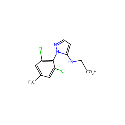 O=C(O)CNc1ccnn1-c1c(Cl)cc(C(F)(F)F)cc1Cl